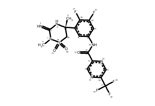 CN1C(=N)N[C@](C)(c2cc(NC(=O)c3cnc(C(F)(F)F)cn3)cc(F)c2F)CS1(=O)=O